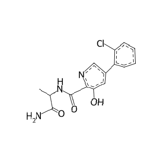 CC(NC(=O)c1ncc(-c2ccccc2Cl)cc1O)C(N)=O